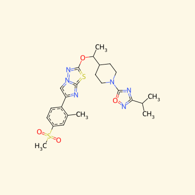 Cc1cc(S(C)(=O)=O)ccc1-c1cn2nc(OC(C)C3CCN(c4nc(C(C)C)no4)CC3)sc2n1